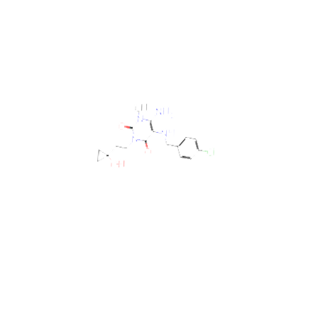 Cn1c(N)c(NCc2ccc(Cl)cc2)c(=O)n(CCC2(O)CC2)c1=O